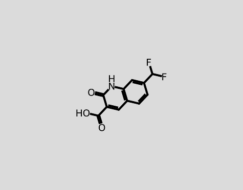 O=C(O)c1cc2ccc(C(F)F)cc2[nH]c1=O